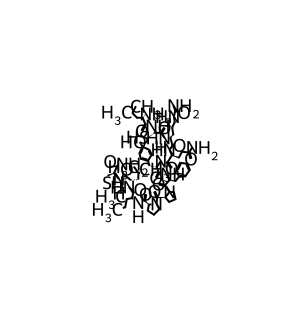 CC[C@H](C)[C@H](NC(=O)[C@@H]1CCCN1C(=O)[C@@H]1CCCN1C(=O)[C@H](Cc1ccccc1)NC(=O)[C@H](Cc1ccc(O)cc1)NC(=O)[C@H](CCC(N)=O)NC(=O)[C@H](CCCNC(N)=O)NC(=O)[C@H](CS)NC(=O)[C@@H](N)CC(C)C)C(=O)N[C@@H](CC(C)C)C(=O)N[C@@H](CS)C(N)=O